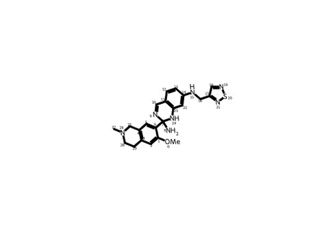 COc1cc2c(cc1C1(N)N=Cc3ccc(NCc4cnsn4)cc3N1)CN(C)CC2